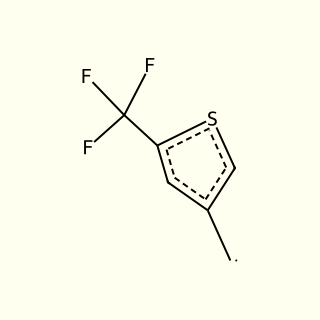 [CH2]c1csc(C(F)(F)F)c1